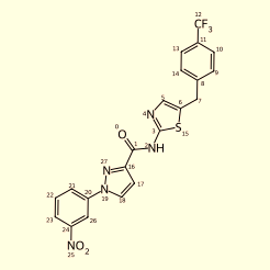 O=C(Nc1ncc(Cc2ccc(C(F)(F)F)cc2)s1)c1ccn(-c2cccc([N+](=O)[O-])c2)n1